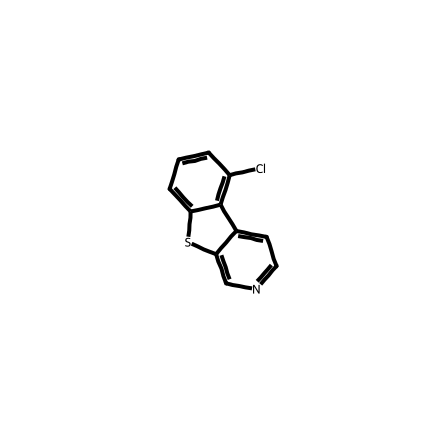 Clc1cccc2sc3cnccc3c12